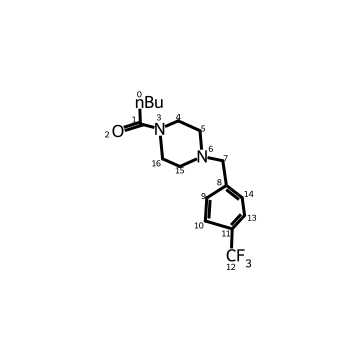 [CH2]CCCC(=O)N1CCN(Cc2ccc(C(F)(F)F)cc2)CC1